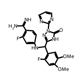 COc1cc(F)c(C(Nc2ccc(C(=N)N)c(F)c2)c2nn(-c3ncccn3)c(=O)[nH]2)cc1OC